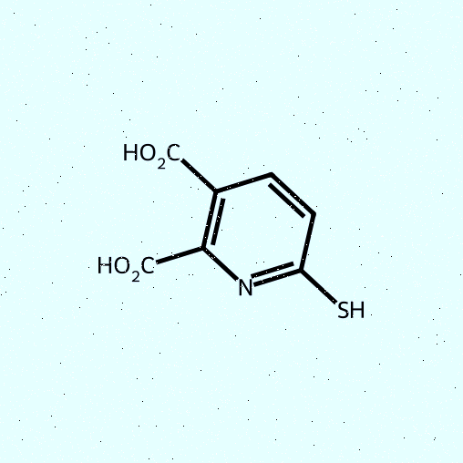 O=C(O)c1ccc(S)nc1C(=O)O